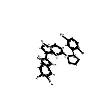 Fc1ccc(F)c([C@H]2CCCN2c2ccn3ncc(-c4nc5cc(F)c(F)cc5[nH]4)c3n2)c1